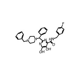 O=C(NCc1ccc(F)cc1)c1nc(C(c2ccccc2)N2CCN(Cc3ccccc3)CC2)nc(O)c1O